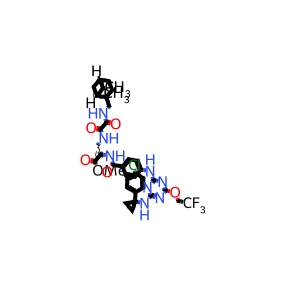 COC(=O)[C@H](CNC(=O)C(=O)NCC1CC[C@H]2C[C@@H]1C2(C)C)NC(=O)c1ccc(Nc2nc(NC3(c4ccc(Cl)cc4)CC3)nc(OCC(F)(F)F)n2)cc1